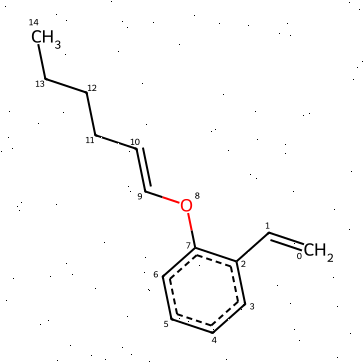 C=Cc1ccccc1O/C=C/CCCC